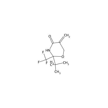 C=C1COC(C(C)(C)C)(C(F)(F)F)NC1=O